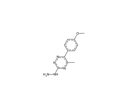 COc1ccc(-c2nnc(NN)nc2C)cc1